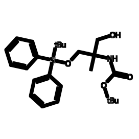 CC(CO)(CO[Si](c1ccccc1)(c1ccccc1)C(C)(C)C)NC(=O)OC(C)(C)C